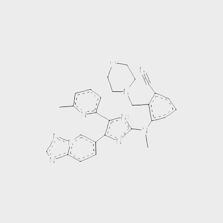 Cc1cccc(-c2[nH]c(N(C)c3cccc(C#N)c3CN3CCOCC3)nc2-c2ccc3ncnn3c2)n1